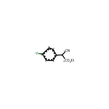 CCOC(=O)C(C#N)c1ccc(F)cc1